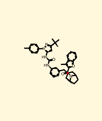 Cc1ccc(-n2nc(C(C)(C)C)cc2NC(=O)Nc2cccc(CC3CC4CCC(C3)N4C(=O)c3oc4ccccc4c3C)c2)cc1